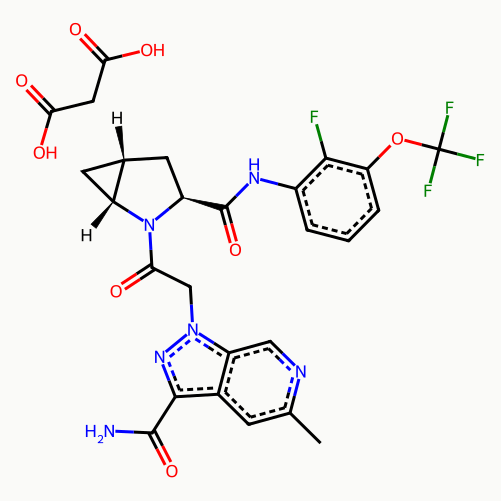 Cc1cc2c(C(N)=O)nn(CC(=O)N3[C@@H]4C[C@@H]4C[C@H]3C(=O)Nc3cccc(OC(F)(F)F)c3F)c2cn1.O=C(O)CC(=O)O